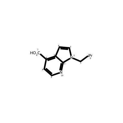 CC(C)Cn1ccc2c(C(=O)O)ccnc21